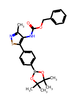 Cc1nsc(-c2ccc(B3OC(C)(C)C(C)(C)O3)cc2)c1NC(=O)OCc1ccccc1